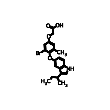 CCC(C)c1c[nH]c2ccc(Oc3c(C)cc(OCC(=O)O)cc3Br)cc12